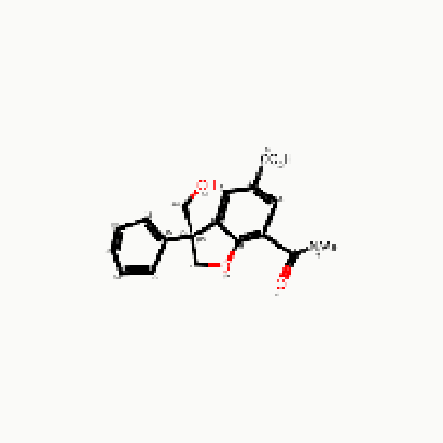 CNC(=O)c1cc(C(=O)O)cc2c1OC[C@]2(CO)c1ccccc1